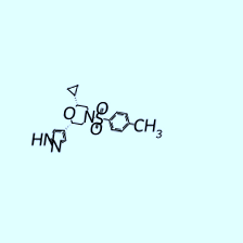 Cc1ccc(S(=O)(=O)N2C[C@@H](C3CC3)O[C@@H](c3cn[nH]c3)C2)cc1